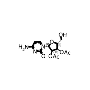 CC(=O)O[C@@H]1[C@H](OC(C)=O)[C@@H](CO)O[C@H]1n1ccc(N)nc1=O